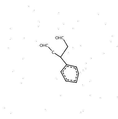 O=[C]CC(C[C]=O)c1ccccc1